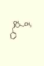 CCCCP(C)Cc1ccccc1